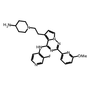 COc1cccc(-c2nc(Nc3ccncc3F)c3c(CCN4CCC(N)CC4)ccn3n2)n1